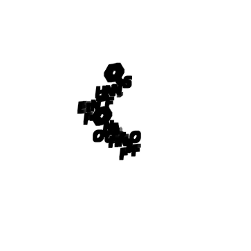 CCN(CCNN(C)C(=S)c1ccccc1)c1c(F)cc(N2C[C@H](CNC(=O)C(F)F)OC2=O)cc1F